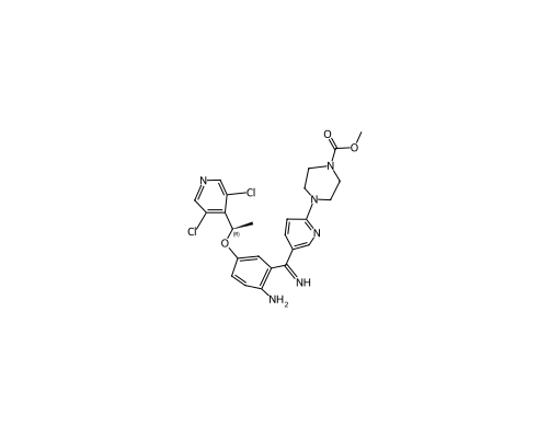 COC(=O)N1CCN(c2ccc(C(=N)c3cc(O[C@H](C)c4c(Cl)cncc4Cl)ccc3N)cn2)CC1